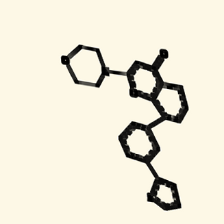 O=c1cc(N2CCOCC2)oc2c(-c3cccc(-c4cccs4)c3)cccc12